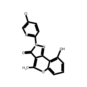 Cc1oc2cccc(O)c2c2nn(-c3ccc(Cl)cn3)c(=O)c1-2